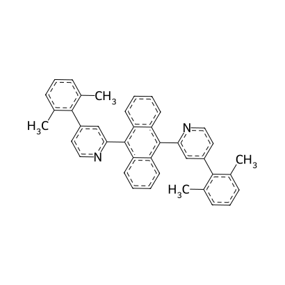 Cc1cccc(C)c1-c1ccnc(-c2c3ccccc3c(-c3cc(-c4c(C)cccc4C)ccn3)c3ccccc23)c1